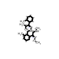 CNC(=O)/C(=N/OC)c1cccc(C)c1CO/N=C(/c1ccccc1C)C(C)C